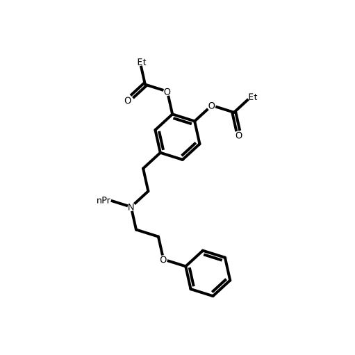 CCCN(CCOc1ccccc1)CCc1ccc(OC(=O)CC)c(OC(=O)CC)c1